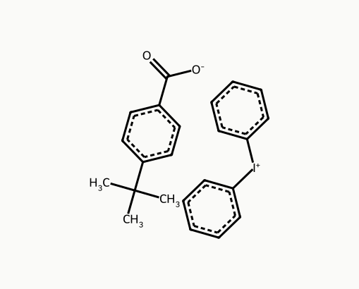 CC(C)(C)c1ccc(C(=O)[O-])cc1.c1ccc([I+]c2ccccc2)cc1